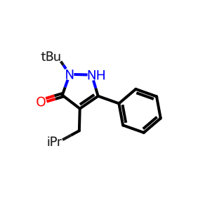 CC(C)Cc1c(-c2ccccc2)[nH]n(C(C)(C)C)c1=O